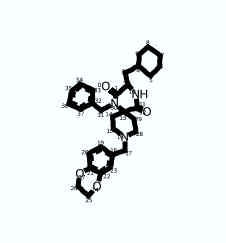 O=C1C(CC2CCCCC2)NC(=O)C2(CCN(Cc3ccc4c(c3)OCCO4)CC2)N1Cc1ccccc1